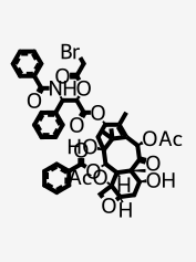 CC(=O)O[C@H]1C(=O)[C@@]2(C)[C@H]([C@H](OC(=O)c3ccccc3)[C@]3(O)C[C@H](OC(=O)[C@H](OC(=O)CBr)[C@@H](NC(=O)c4ccccc4)c4ccccc4)C(C)=C1C3(C)C)[C@]1(OC(C)=O)CO[C@@H]1C[C@@H]2O